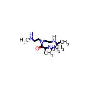 CNCCN(CCNC(C)C)C(=O)C(C)NC